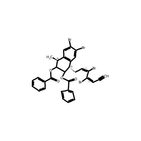 C#C/C=C(Br)\C(Br)=C/C[C@H]1c2cc(Br)c(Br)cc2[C@H](C)C(OC(=O)c2ccccc2)C1OC(=O)c1ccccc1